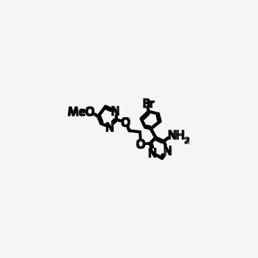 COc1cnc(OCCOc2ncnc(N)c2-c2ccc(Br)cc2)nc1